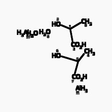 CC(O)C(=O)O.CC(O)C(=O)O.O.O.[AlH3].[AlH3]